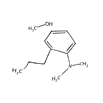 CCCc1ccccc1N(C)C.CO